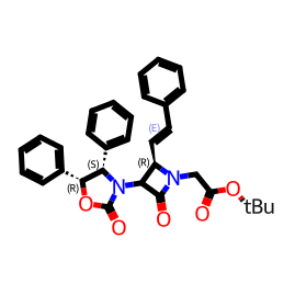 CC(C)(C)OC(=O)CN1C(=O)C(N2C(=O)O[C@H](c3ccccc3)[C@@H]2c2ccccc2)[C@H]1/C=C/c1ccccc1